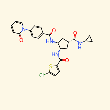 O=C(N[C@H]1C[C@H](C(=O)NC2CC2)C[C@H]1NC(=O)c1ccc(Cl)s1)c1ccc(-n2ccccc2=O)cc1